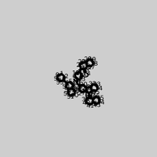 c1ccc(-c2cc(N(c3ccc4c(c3)sc3c5ccccc5ccc43)c3ccc4c(c3)c3ccccc3n4-c3cccc4ccccc34)c3ccccc3c2)cc1